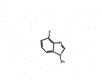 CC(C)n1cnc2c(F)cccc21